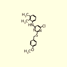 COc1ccc(CSc2nc(Cl)cc(Nc3cccc(C)c3C)n2)cc1